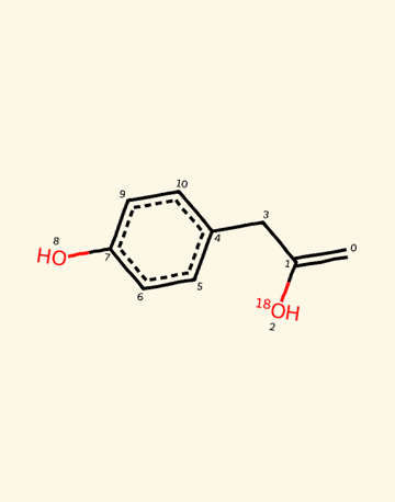 C=C([18OH])Cc1ccc(O)cc1